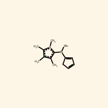 Cc1c(C)[c]([Ru]([C]2=CC=CC2)[C](C)(C)C)n(C)c1C